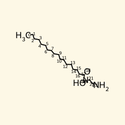 CCCCCCCCCCCCCCCCCC(=O)N(O)CCN